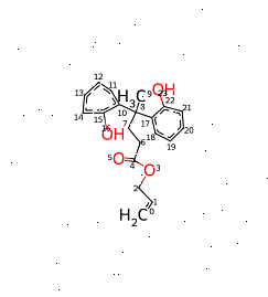 C=CCOC(=O)CCC(C)(c1ccccc1O)c1ccccc1O